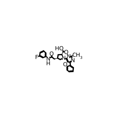 Cc1nc(N2C[C@@H](CC(=O)Nc3cccc(F)c3)C[C@H]2C(=O)O)c2oc3ccccc3c2n1